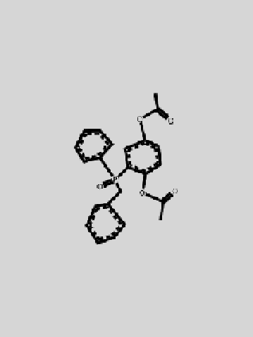 CC(=O)Oc1ccc(OC(C)=O)c(P(=O)(Cc2ccccc2)c2ccccc2)c1